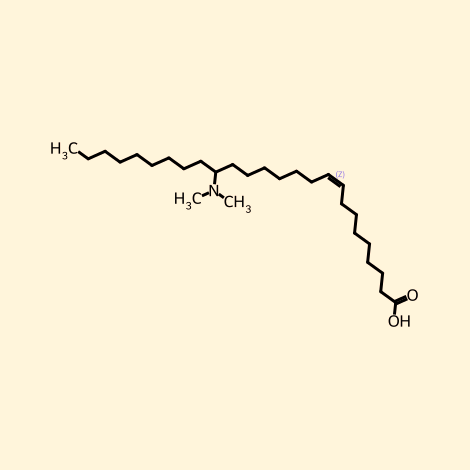 CCCCCCCCCC(CCCCCC/C=C\CCCCCCCC(=O)O)N(C)C